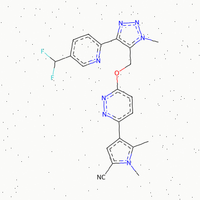 Cc1c(-c2ccc(OCc3c(-c4ccc(C(F)F)cn4)nnn3C)nn2)cc(C#N)n1C